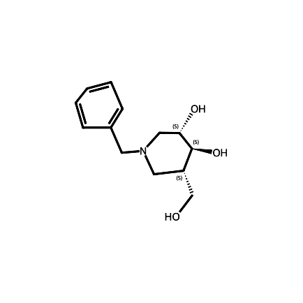 OC[C@@H]1CN(Cc2ccccc2)C[C@H](O)[C@H]1O